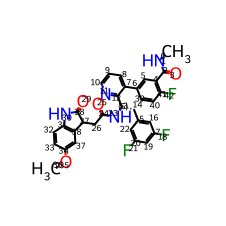 CNC(=O)c1cc(-c2cccnc2[C@H](Cc2cc(F)cc(F)c2)NC(=O)CC2C(=O)Nc3ccc(OC)cc32)ccc1F